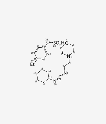 C(=NCCN1CCOCC1)=NC1CCCCC1.CCc1ccc(OS(=O)(=O)O)cc1